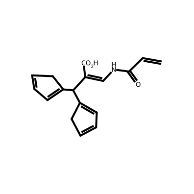 C=CC(=O)NC=C(C(=O)O)C(C1=CC=CC1)C1=CC=CC1